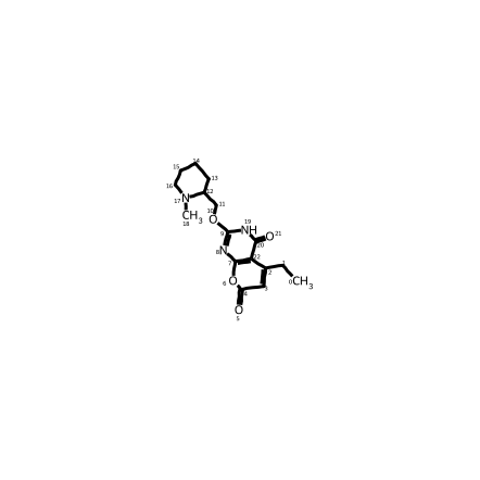 CCc1cc(=O)oc2nc(OCC3CCCCN3C)[nH]c(=O)c12